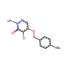 CCCn1ncc(OCc2ccc(C(C)(C)C)cc2)c(Cl)c1=O